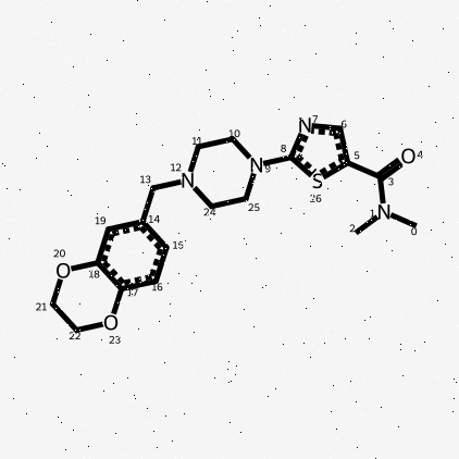 CN(C)C(=O)c1cnc(N2CCN(Cc3ccc4c(c3)OCCO4)CC2)s1